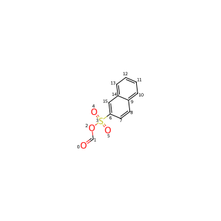 O=COS(=O)(=O)c1ccc2ccccc2c1